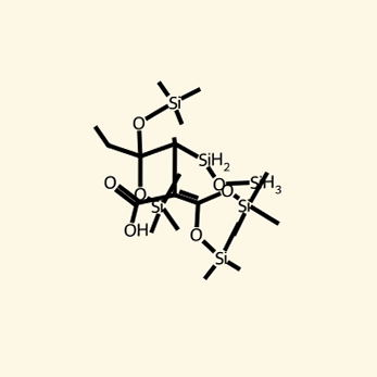 CCC(O[Si](C)(C)C)(O[Si](C)(C)C)C(C)([SiH2]O[SiH3])C(C(=O)O)=C(O[Si](C)(C)C)O[Si](C)(C)C